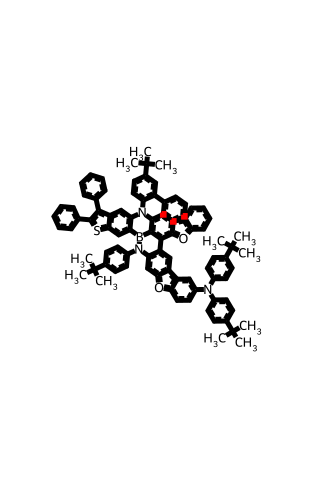 CC(C)(C)c1ccc(N2B3c4cc5sc(-c6ccccc6)c(-c6ccccc6)c5cc4N(c4ccc(C(C)(C)C)cc4-c4ccccc4)c4cc5c(oc6ccccc65)c(c43)-c3cc4c(cc32)oc2ccc(N(c3ccc(C(C)(C)C)cc3)c3ccc(C(C)(C)C)cc3)cc24)cc1